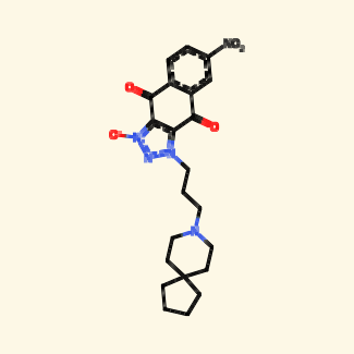 O=C1c2cc([N+](=O)[O-])ccc2C(=O)c2c1n(CCCN1CCC3(CCCC3)CC1)n[n+]2[O-]